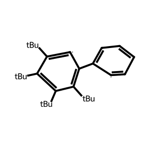 CC(C)(C)c1[c]c(-c2[c]cccc2)c(C(C)(C)C)c(C(C)(C)C)c1C(C)(C)C